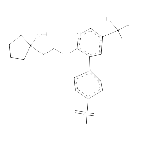 CS(=O)(=O)c1ccc(-c2cc(C(F)(F)F)cnc2OCCC2(O)CCCC2)cc1